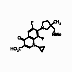 CNCC1(C)CCN(c2c(F)cc3c(=O)c(C(=O)O)cn(C4CC4)c3c2F)C1